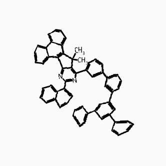 CC1(C)c2c(-c3cccc(-c4cccc(-c5cc(-c6ccccc6)cc(-c6ccccc6)c5)c4)c3)nc(-c3cccc4ccccc34)nc2-c2c1c1ccccc1c1ccccc21